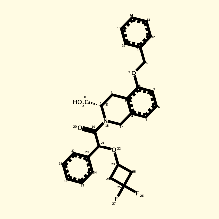 O=C(O)[C@@H]1Cc2c(cccc2OCc2ccccc2)CN1C(=O)C(OC1CC(F)(F)C1)c1ccccc1